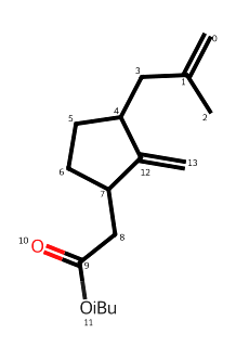 C=C(C)CC1CCC(CC(=O)OCC(C)C)C1=C